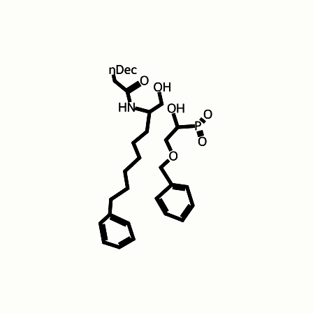 CCCCCCCCCCCC(=O)NC(CO)CCCCCCc1ccccc1.O=P(=O)C(O)COCc1ccccc1